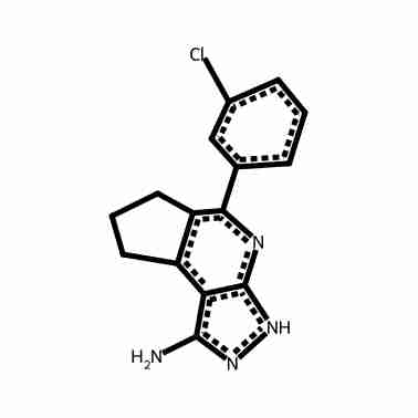 Nc1n[nH]c2nc(-c3cccc(Cl)c3)c3c(c12)CCC3